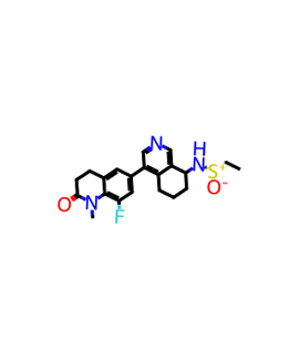 CC[S+]([O-])NC1CCCc2c(-c3cc(F)c4c(c3)CCC(=O)N4C)cncc21